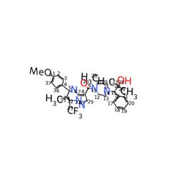 COc1ccc(-c2nc3c(C(=O)N4CCN([C@H](c5ccccc5)C(C)(C)O)C[C@H]4C)cnn3c(C(F)(F)F)c2C)cc1